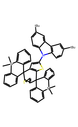 CC(C)(C)c1ccc2c(c1)c1cc(C(C)(C)C)ccc1n2-c1cc2c(s1)C1(c3ccccc3[Si](C)(C)c3ccccc31)c1ccsc1C21c2ccccc2[Si](C)(C)c2ccccc21